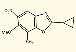 COc1c([N+](=O)[O-])cc2nc(C3CC3)oc2c1C